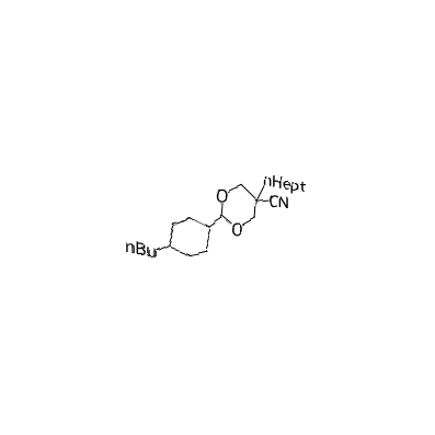 CCCCCCCC1(C#N)COC(C2CCC(CCCC)CC2)OC1